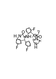 C[C@@H]1CNC[C@H](CCc2c(F)cccc2N[C@H](C(N)=O)C(c2cccc(F)c2)c2cccc(F)c2)N1S(=O)(=O)C1CC1